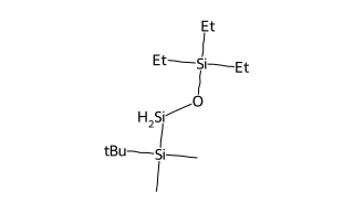 CC[Si](CC)(CC)O[SiH2][Si](C)(C)C(C)(C)C